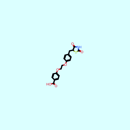 O=C1NC(=O)C(Cc2ccc(OCCOc3ccc(C(=O)O)cc3)cc2)S1